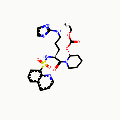 CCOC(=O)O[C@@H]1CCCCN1C(=O)[C@H](CCCNc1ncc[nH]1)NS(=O)(=O)c1cccc2cccnc12